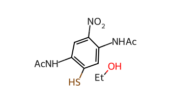 CC(=O)Nc1cc([N+](=O)[O-])c(NC(C)=O)cc1S.CCO